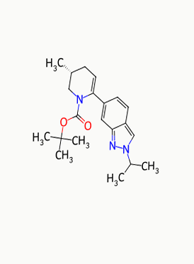 CC(C)n1cc2ccc(C3=CC[C@@H](C)CN3C(=O)OC(C)(C)C)cc2n1